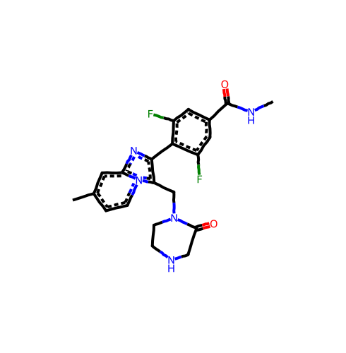 CNC(=O)c1cc(F)c(-c2nc3cc(C)ccn3c2CN2CCNCC2=O)c(F)c1